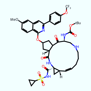 COc1ccc2c(OC3CC4C(=O)[C@@H](NC(=O)OC(C)(C)C)CNCCC/C=C\[C@@H]5C[C@@]5(C(=O)NS(=O)(=O)C5CC5)NC(=O)[C@@H]4C3)nc(-c3ccc(OC(F)(F)F)cc3)cc2c1